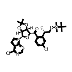 CC1(C)O[C@@H]2[C@H](O1)[C@@H](C(=O)c1ccc(Cl)cc1[C@H](F)CO[Si](C)(C)C(C)(C)C)O[C@H]2n1ccc2c(Cl)ncnc21